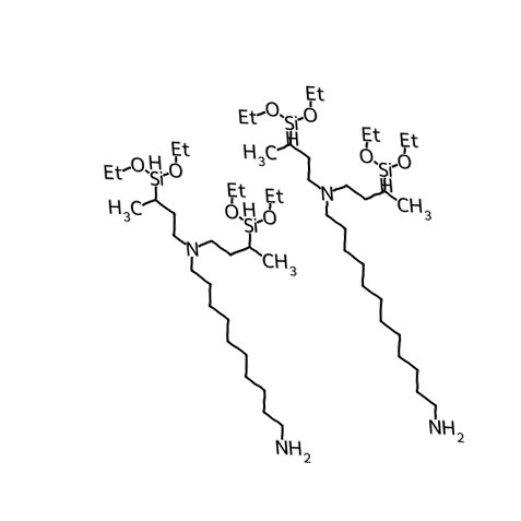 CCO[SiH](OCC)C(C)CCN(CCCCCCCCCCCCN)CCC(C)[SiH](OCC)OCC.CCO[SiH](OCC)C(C)CCN(CCCCCCCCCCN)CCC(C)[SiH](OCC)OCC